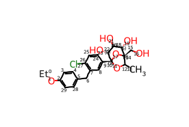 CCOc1ccc(Cc2cc([C@]34OC(C)[C@](CO)(O3)[C@@H](O)[C@H](O)[C@H]4O)ccc2Cl)cc1